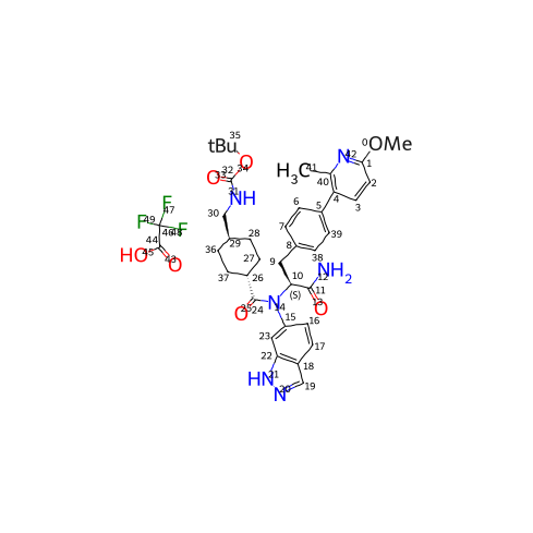 COc1ccc(-c2ccc(C[C@@H](C(N)=O)N(c3ccc4cn[nH]c4c3)C(=O)[C@H]3CC[C@H](CNC(=O)OC(C)(C)C)CC3)cc2)c(C)n1.O=C(O)C(F)(F)F